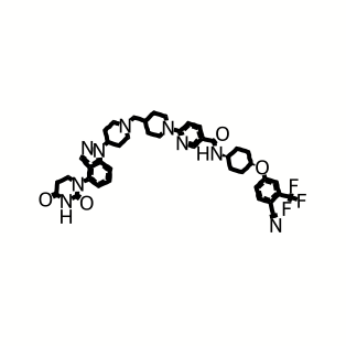 N#Cc1ccc(O[C@H]2CC[C@H](NC(=O)c3ccc(N4CCC(CN5CCC(n6ncc7c(N8CCC(=O)NC8=O)cccc76)CC5)CC4)nc3)CC2)cc1C(F)(F)F